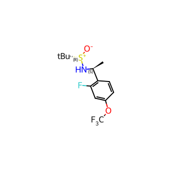 C[C@H](N[S@@+]([O-])C(C)(C)C)c1ccc(OC(F)(F)F)cc1F